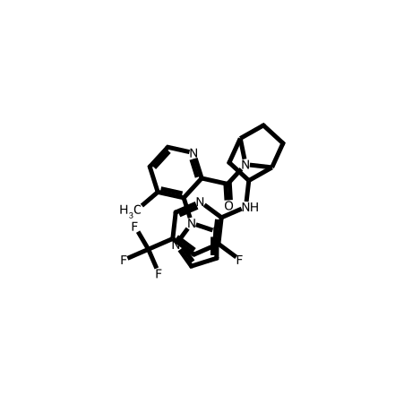 Cc1ccnc(C(=O)N2C3CCC2C(Nc2ncc(C(F)(F)F)cc2F)C3)c1-n1nccn1